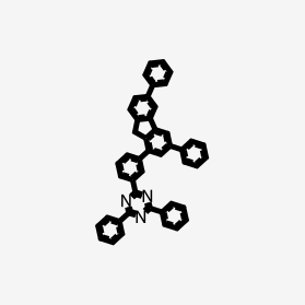 c1ccc(-c2ccc3c(c2)-c2cc(-c4ccccc4)cc(-c4cccc(-c5nc(-c6ccccc6)nc(-c6ccccc6)n5)c4)c2C3)cc1